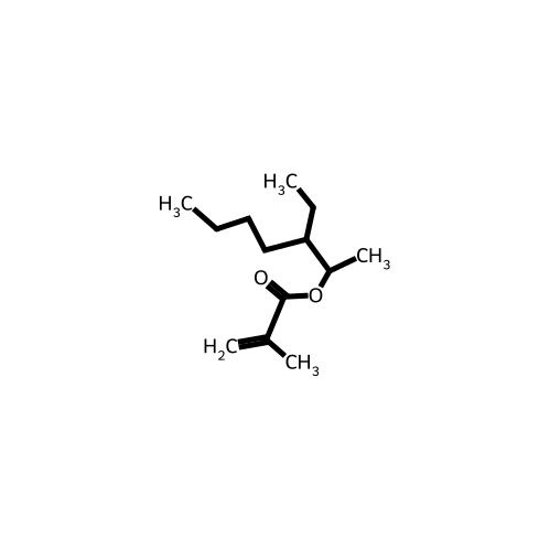 C=C(C)C(=O)OC(C)C(CC)CCCC